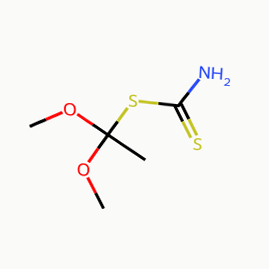 COC(C)(OC)SC(N)=S